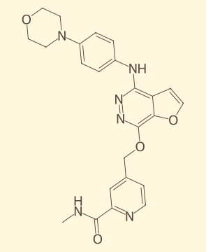 CNC(=O)c1cc(COc2nnc(Nc3ccc(N4CCOCC4)cc3)c3ccoc23)ccn1